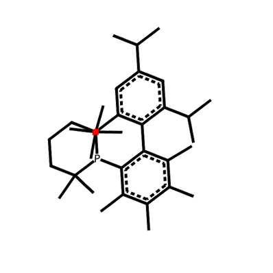 Cc1c(C)c(C)c(P2C(C)(C)CCCC2(C)C)c(-c2c(C(C)C)cc(C(C)C)cc2C(C)C)c1C